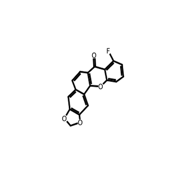 O=c1c2ccc3cc4c(cc3c2oc2cccc(F)c12)OCO4